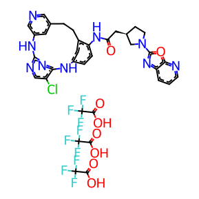 O=C(C[C@H]1CCN(c2nc3cccnc3o2)C1)Nc1ccc2cc1CCc1cncc(c1)Nc1ncc(Cl)c(n1)N2.O=C(O)C(F)(F)F.O=C(O)C(F)(F)F.O=C(O)C(F)(F)F